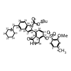 COc1cc(C)ccc1S(=O)(=O)Oc1ccc(-c2cc3cc(CN4CCCCC4)ccc3n2C(=O)OC(C)(C)C)c2c1CNC2=O